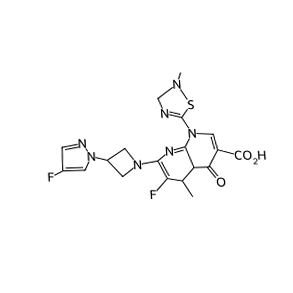 CC1C(F)=C(N2CC(n3cc(F)cn3)C2)N=C2C1C(=O)C(C(=O)O)=CN2C1=NCN(C)S1